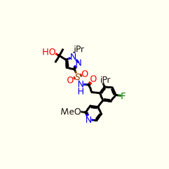 COc1cc(-c2cc(F)cc(C(C)C)c2CC(=O)NS(=O)(=O)c2cc(C(C)(C)O)n(C(C)C)n2)ccn1